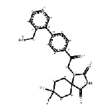 O=C(CN1C(=O)NC(=O)C12CCC(F)(F)CC2)c1ccc(-c2cnccc2CO)cc1